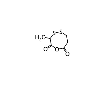 CC1SSCCC(=O)OC1=O